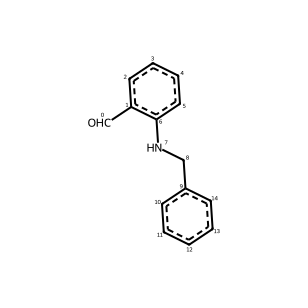 O=Cc1ccccc1NCc1ccccc1